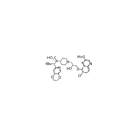 COc1cnc2ccc(Cl)c(OCC(O)CN3CCC(N(C(=O)O)C(c4cc5c(cn4)OCCO5)C(C)(C)C)CC3)c2n1